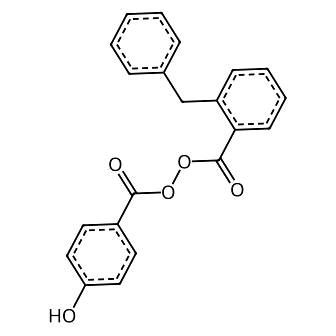 O=C(OOC(=O)c1ccccc1Cc1ccccc1)c1ccc(O)cc1